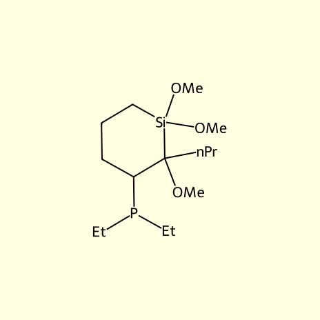 CCCC1(OC)C(P(CC)CC)CCC[Si]1(OC)OC